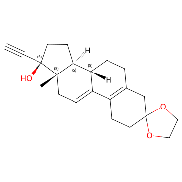 C#C[C@]1(O)CC[C@H]2[C@@H]3CCC4=C(CCC5(C4)OCCO5)C3=CC[C@@]21C